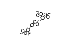 C=CC(=O)Oc1ccc(-c2ccc(OC(=O)CCc3ccc(OC(=O)C=C)c(OC(=O)C=C)c3)cc2)cc1F